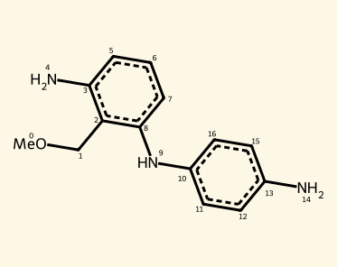 COCc1c(N)cccc1Nc1ccc(N)cc1